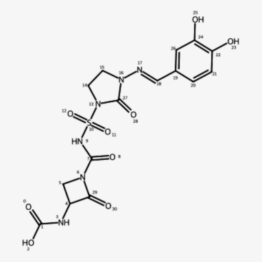 O=C(O)NC1CN(C(=O)NS(=O)(=O)N2CCN(N=Cc3ccc(O)c(O)c3)C2=O)C1=O